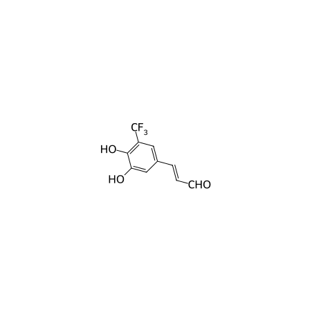 O=CC=Cc1cc(O)c(O)c(C(F)(F)F)c1